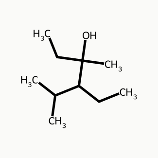 CCC(C(C)C)C(C)(O)CC